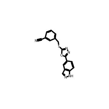 N#Cc1cccc(CSc2nnc(-c3ccc4[nH]ncc4c3)o2)c1